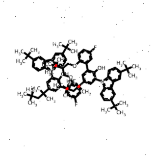 CC(C)(C)CC(C)(C)c1cc(-c2cc(F)ccc2OCC(COc2ccc(F)cc2-c2cc(C(C)(C)CC(C)(C)C)cc(-n3c4ccc(C(C)(C)C)cc4c4cc(C(C)(C)C)ccc43)c2O)C(C)(C)C)c(O)c(-n2c3ccc(C(C)(C)C)cc3c3cc(C(C)(C)C)ccc32)c1